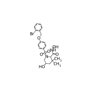 CC1(C)C[C@@H](O)CN(S(=O)(=O)c2ccc(OCc3ccccc3Br)cc2)C1C(=O)NO